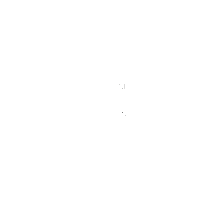 O=C(O)Cc1c(C(=O)c2cc3ccccc3cn2)[nH]c2cc(Cl)ccc12